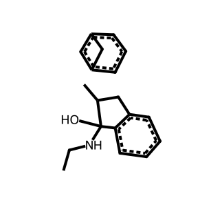 CCNC1(O)c2ccccc2CC1C.c1cc2cc(c1)C2